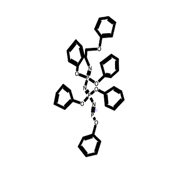 c1ccc(OCCN=P(N=P(/N=P/Oc2ccccc2)(Oc2ccccc2)Oc2ccccc2)(Oc2ccccc2)Oc2ccccc2)cc1